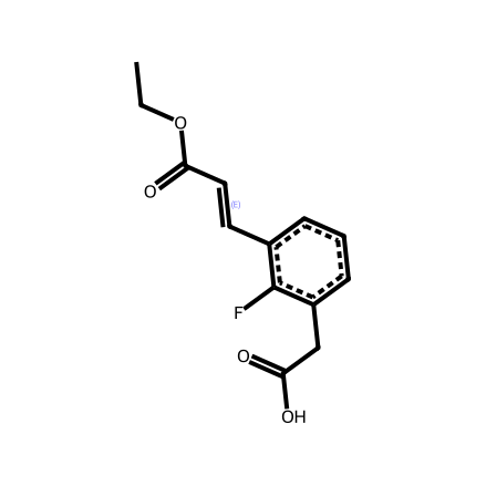 CCOC(=O)/C=C/c1cccc(CC(=O)O)c1F